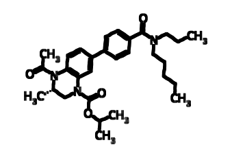 CCCCCN(CCC)C(=O)c1ccc(-c2ccc3c(c2)N(C(=O)OC(C)C)C[C@H](C)N3C(C)=O)cc1